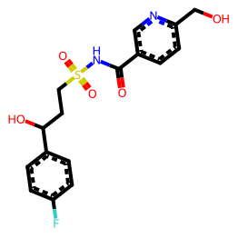 O=C(NS(=O)(=O)CCC(O)c1ccc(F)cc1)c1ccc(CO)nc1